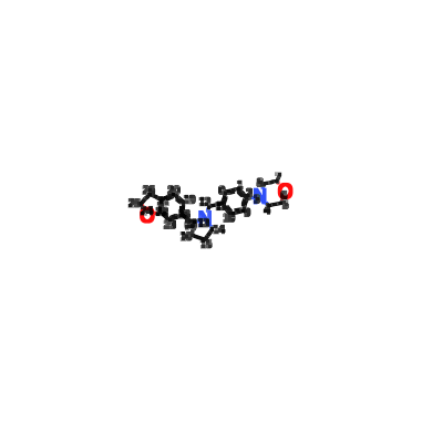 c1cc(N2CCOCC2)ccc1CN1CCC[C@H]1c1ccc2c(c1)OCC2